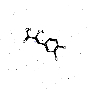 C/C(=C\c1ccc(Cl)c(Cl)c1)C(=O)O